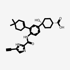 C#Cc1cnc(C(=O)Nc2ccc([C@]3(O)CC[C@@H](C(=O)O)CC3)cc2C2=CCC(C)(C)CC2)[nH]1